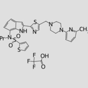 Cc1cccc(N2CCN(Cc3cnc(-c4cc5cccc(N(C(C)C)S(=O)(=O)c6cccs6)c5[nH]4)s3)CC2)n1.O=C(O)C(F)(F)F